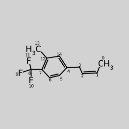 C/C=C\Cc1ccc(C(F)(F)F)c(C)c1